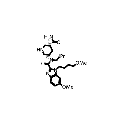 COCCCCn1c(C(=O)N(CC(C)C)[C@@H]2CNC[C@H](C(N)=O)C2)nc2ccc(OC)cc21